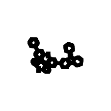 C1=CCC(n2c3c(c4c2C=C(c2ccc5c(c2)Sc2cc(-c6ccccc6)ccc2C52C5=C(C=CCC5)Sc5ccccc52)CC4)CCC=C3)C=C1